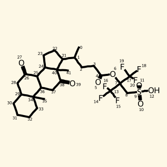 CC(CCC(=O)OC(CS(=O)(=O)O)(C(F)(F)F)C(F)(F)F)C1CCC2C3C(=O)CC4CCCCC4(C)C3CC(=O)C12C